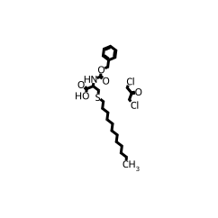 CCCCCCCCCCCCSCC(NC(=O)OCc1ccccc1)C(=O)O.O=C(CCl)CCl